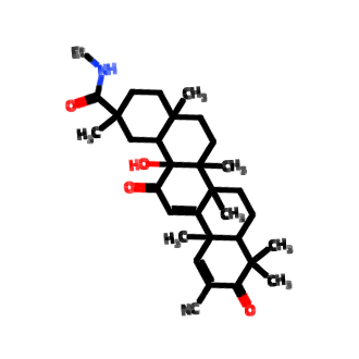 CCNC(=O)C1(C)CCC2(C)CCC3(C)C4(C)CCC5C(C)(C)C(=O)C(C#N)=CC5(C)C4=CC(=O)C3(O)C2C1